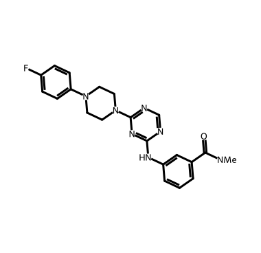 CNC(=O)c1cccc(Nc2ncnc(N3CCN(c4ccc(F)cc4)CC3)n2)c1